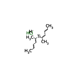 CC=CC=[C](C)[Ti][C](C)=CC=CC.Cl.[H-]